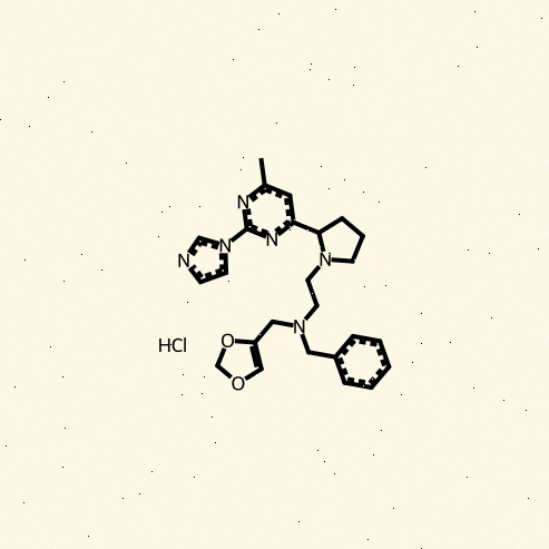 Cc1cc(C2CCCN2CCN(CC2=COCO2)Cc2ccccc2)nc(-n2ccnc2)n1.Cl